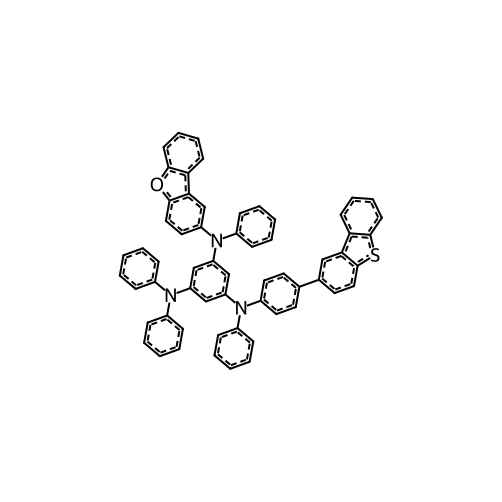 c1ccc(N(c2ccccc2)c2cc(N(c3ccccc3)c3ccc(-c4ccc5sc6ccccc6c5c4)cc3)cc(N(c3ccccc3)c3ccc4oc5ccccc5c4c3)c2)cc1